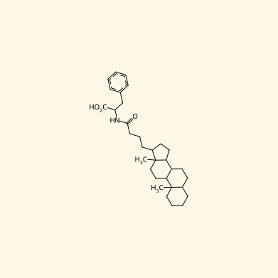 CC12CCCCC1CCC1C2CCC2(C)C(CCCC(=O)NC(Cc3ccccc3)C(=O)O)CCC12